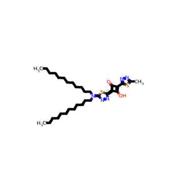 CCCCCCCCCCCC[N+](CCCCCCCCCCCC)=C1N=N/C(=C2/C(=O)C(c3nnc(C)s3)=C2O)S1